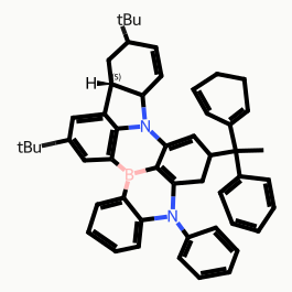 CC(C)(C)c1cc2c3c(c1)[C@@H]1CC(C(C)(C)C)C=CC1N3C1=CC(C(C)(C3=CCCC=C3)c3ccccc3)CC3=C1B2c1ccccc1N3c1ccccc1